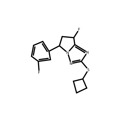 Fc1cccc(C2CC(F)c3nc(SC4CCC4)nn32)c1